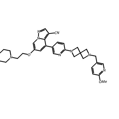 COc1ccc(CN2CC3(C2)CN(c2ccc(-c4cc(OCCN5CCOCC5)cn5ncc(C#N)c45)cn2)C3)cn1